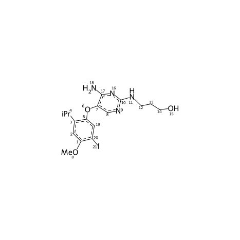 COc1cc(C(C)C)c(Oc2cnc(NCCCO)nc2N)cc1I